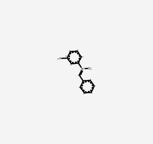 [O-][N+](=Cc1ccccc1)c1cccc(F)c1